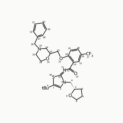 CC(C)(C)c1cn(C[C@@H]2CCCO2)c(=NC(=O)c2cc(C(F)(F)F)ccc2OCC2CN(Cc3ccccc3)CCO2)s1